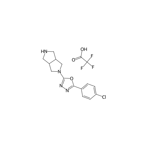 Clc1ccc(-c2nnc(N3CC4CNCC4C3)o2)cc1.O=C(O)C(F)(F)F